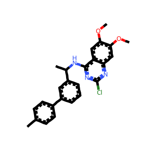 COc1cc2nc(Cl)nc(NC(C)c3cccc(-c4ccc(C)cc4)c3)c2cc1OC